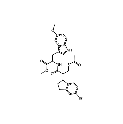 COC(=O)C(Cc1c[nH]c2ccc(OC)cc12)NC(=O)C(CSC(C)=O)C1CCc2cc(Br)ccc21